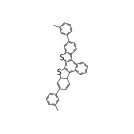 Cc1cccc(C2=CC3Sc4c(c5ccccc5c5c4sc4cc(-c6cccc(C)c6)ccc45)C3C=C2)c1